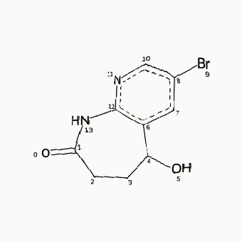 O=C1CCC(O)c2cc(Br)cnc2N1